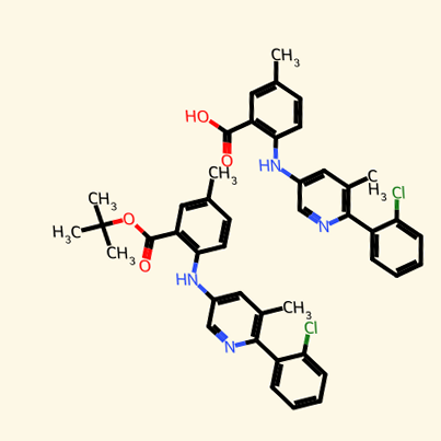 Cc1ccc(Nc2cnc(-c3ccccc3Cl)c(C)c2)c(C(=O)O)c1.Cc1ccc(Nc2cnc(-c3ccccc3Cl)c(C)c2)c(C(=O)OC(C)(C)C)c1